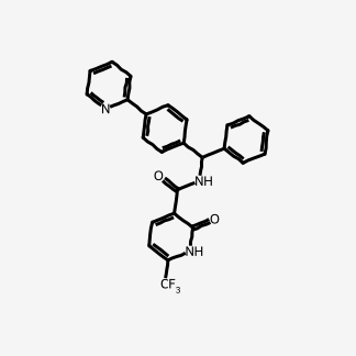 O=C(NC(c1ccccc1)c1ccc(-c2ccccn2)cc1)c1ccc(C(F)(F)F)[nH]c1=O